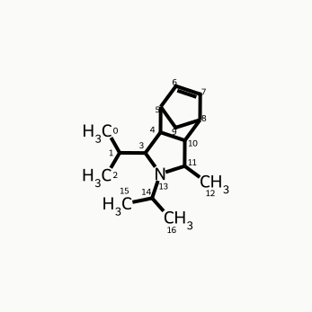 CC(C)C1C2C3C=CC(C3)C2C(C)N1C(C)C